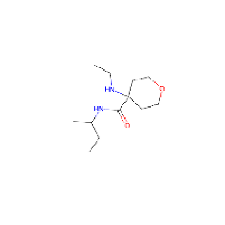 CCNC1(C(=O)NC(C)CC)CCOCC1